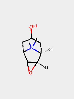 C[N+]1(C)C2CC(O)C[C@H]1[C@H]1OC21